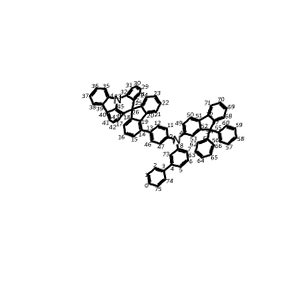 c1ccc(-c2cccc(N(c3ccc(-c4cccc5c4-c4ccccc4C54c5ccccc5-n5c6ccccc6c6cccc4c65)cc3)c3ccc4c(c3)C(c3ccccc3)(c3ccccc3)c3ccccc3-4)c2)cc1